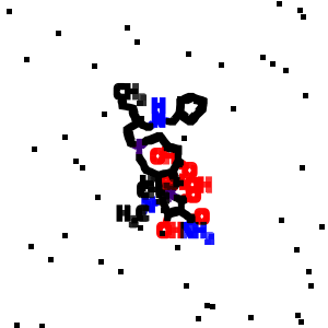 C=C/C=C(\C=C/I1/C=C\C(O)=C\C(=O)C2=C(O)I3(O)(C[C@@H]2CC1)C(=O)C(C(N)=O)=C(O)[C@H]3N(C)C)CNCc1ccccc1